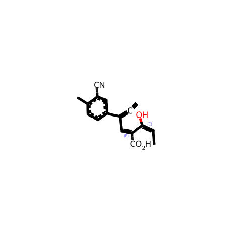 C=C=C(/C=C(C(=O)O)\C(O)=C/C)c1ccc(C)c(C#N)c1